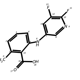 Cc1cccc(Nc2cnc(F)c(F)c2)c1C(=O)O